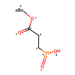 CCCCOC(=O)CC[PH](=O)O